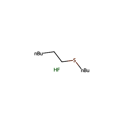 CCCCCCSCCCC.F